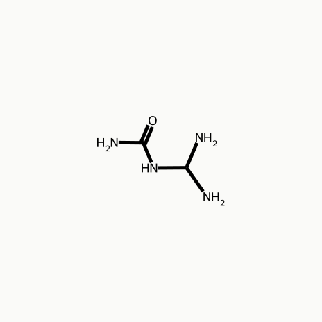 NC(=O)NC(N)N